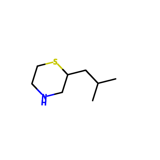 CC(C)CC1CNCCS1